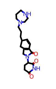 O=C1CCC(N2CC3=C(C=CC(CCCN4CCCNCC4)C3)C2=O)C(=O)N1